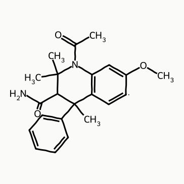 COc1[c]cc2c(c1)N(C(C)=O)C(C)(C)C(C(N)=O)C2(C)c1ccccc1